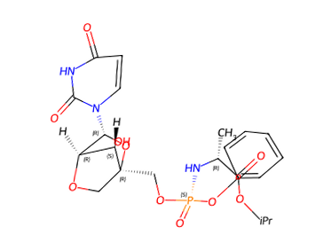 CC(C)OC(=O)[C@@H](C)N[P@](=O)(OC[C@@]12CO[C@@H]([C@H](n3ccc(=O)[nH]c3=O)O1)[C@@H]2O)Oc1ccccc1